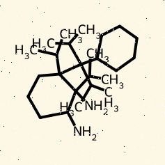 CC(C)C1(N)C(N)CCCC1(C(C)C)C(C(C)C)(C(C)C)C1CCCCC1